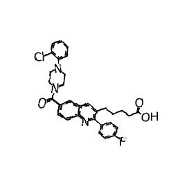 O=C(O)CCCCc1cc2cc(C(=O)N3CCN(c4ccccc4Cl)CC3)ccc2nc1-c1ccc(F)cc1